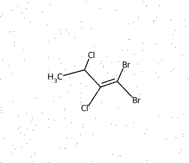 CC(Cl)C(Cl)=C(Br)Br